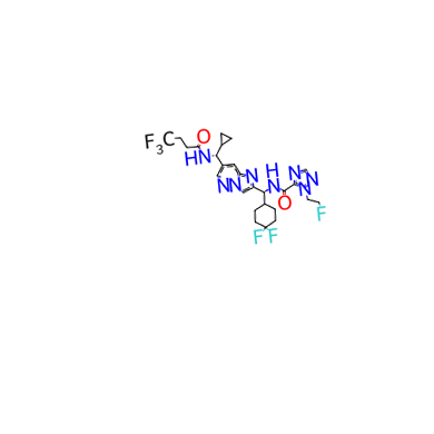 O=C(CCC(F)(F)F)N[C@@H](c1cnn2cc([C@@H](NC(=O)c3ncnn3CCF)C3CCC(F)(F)CC3)nc2c1)C1CC1